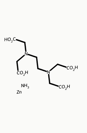 N.O=C(O)CN(CCN(CC(=O)O)CC(=O)O)CC(=O)O.[Zn]